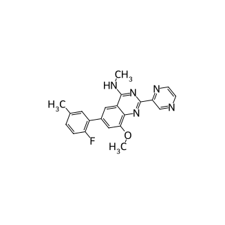 CNc1nc(-c2cnccn2)nc2c(OC)cc(-c3cc(C)ccc3F)cc12